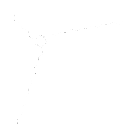 CCCCCCCCCCCCCCCc1cc(CCCCCCCCCCCCCCC)c[n+](CCCCCC)c1